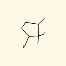 CC1CSC(F)C1(F)F